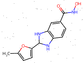 Cc1ccc(C2Nc3ccc(C(=O)NO)cc3N2)o1